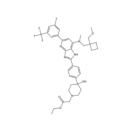 CCOC(=O)CN1CCC(O)(c2ccc(-c3nc4nc(-c5cc(F)cc(C(F)(F)F)c5)cc(N(C)CC5(COC)CCC5)c4[nH]3)cc2)CC1